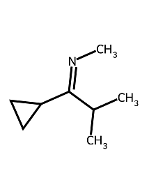 CN=C(C(C)C)C1CC1